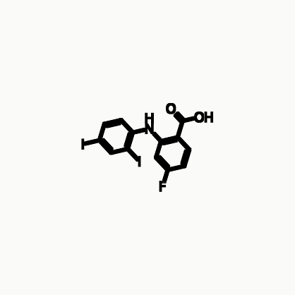 O=C(O)c1ccc(F)cc1Nc1ccc(I)cc1I